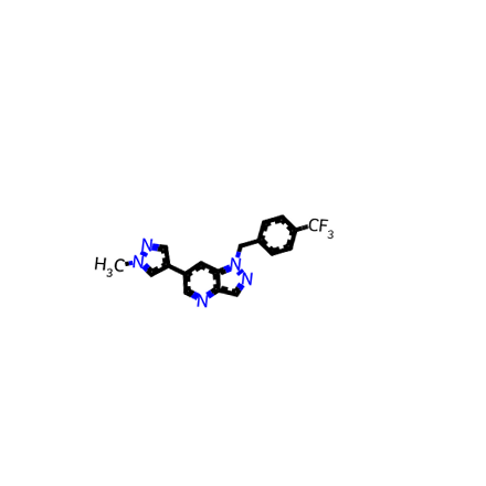 Cn1cc(-c2cnc3cnn(Cc4ccc(C(F)(F)F)cc4)c3c2)cn1